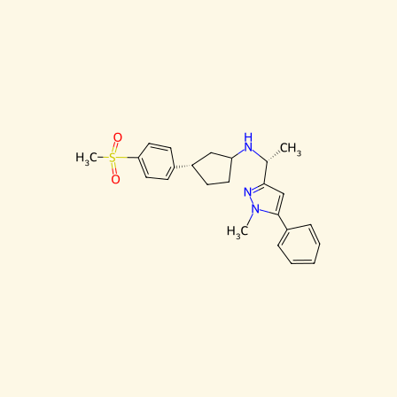 C[C@@H](NC1CC[C@H](c2ccc(S(C)(=O)=O)cc2)C1)c1cc(-c2ccccc2)n(C)n1